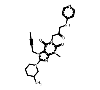 CC#CCn1c(N2CCCC(N)C2)nc2c1c(=O)n(CC(=O)CNc1ccncc1)c(=O)n2C